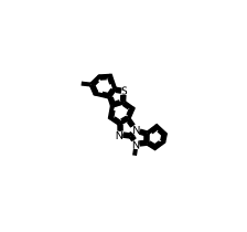 Cc1ccc2sc3cc4c(cc3c2c1)nc1n(C)c2ccccc2n41